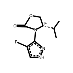 CC(C)[C@H]1COC(=O)N1c1n[nH]cc1F